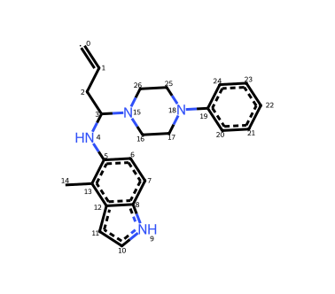 [CH]=CCC(Nc1ccc2[nH]ccc2c1C)N1CCN(c2ccccc2)CC1